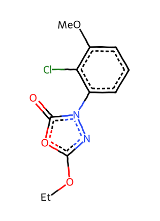 CCOc1nn(-c2cccc(OC)c2Cl)c(=O)o1